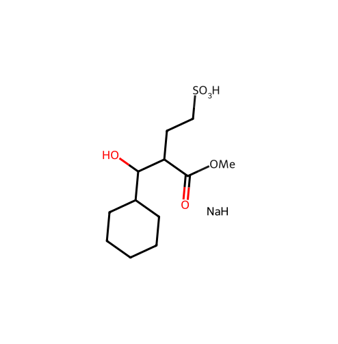 COC(=O)C(CCS(=O)(=O)O)C(O)C1CCCCC1.[NaH]